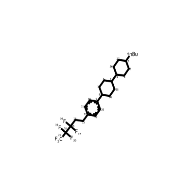 CCCCC1CCC(C2CCC(c3ccc(CCC(F)(F)C(F)(F)C(F)(F)F)cc3)CC2)CC1